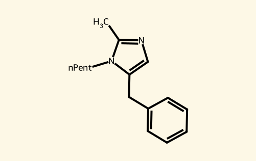 CCCCCn1c(Cc2ccccc2)cnc1C